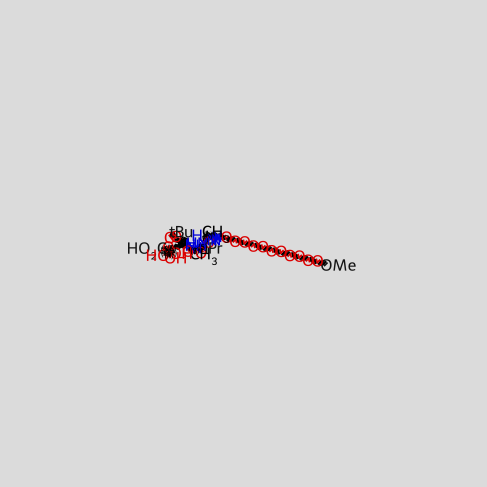 COCCOCCOCCOCCOCCOCCOCCOCCOCCOCCOCCOCCn1cc([C@H](C)CC(=O)N[C@H](C(=O)N[C@@H](C)C(=O)Nc2ccc(COC(=O)C(C)(C)C)c(CC[C@@H]3O[C@H](C(=O)O)[C@@H](O)[C@H](O)[C@H]3O)c2)C(C)C)nn1